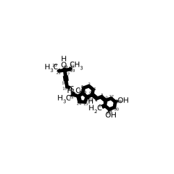 C=C1C(=CC=C2CCC[C@]3(C)C([C@@H](C)SCC#CC(O)(CC)CC)=CC[C@@H]23)C[C@@H](O)C[C@@H]1O